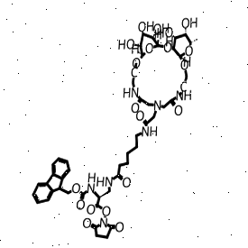 C[C@@H]1O[C@H]2OCCNC(=O)CN(CC(=O)NCCCCCC(=O)NC[C@H](NC(=O)OCC3c4ccccc4-c4ccccc43)C(=O)ON3C(=O)CCC3=O)CC(=O)NCCO[C@@H]3O[C@@H](O[C@H]2[C@H](O)[C@@H]1O)[C@@H](O)[C@@H](O)[C@@H]3O